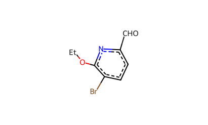 CCOc1nc(C=O)ccc1Br